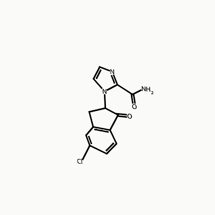 NC(=O)c1nccn1C1Cc2cc(Cl)ccc2C1=O